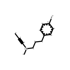 CC#CN(C)CCCc1ccc(F)cc1